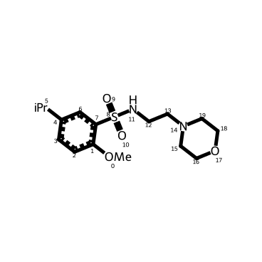 COc1ccc(C(C)C)cc1S(=O)(=O)NCCN1CCOCC1